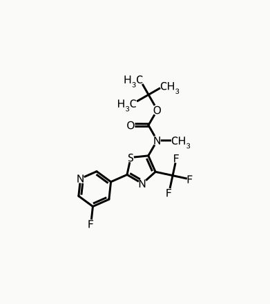 CN(C(=O)OC(C)(C)C)c1sc(-c2cncc(F)c2)nc1C(F)(F)F